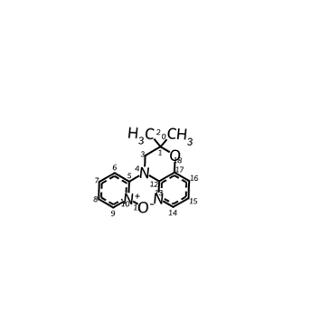 CC1(C)CN(c2cccc[n+]2[O-])c2ncccc2O1